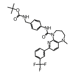 CN1CCCN(C(=O)Nc2ccc(CNC(=O)OC(C)(C)C)cc2)c2nc(-c3cccc(C(F)(F)F)c3)ccc21